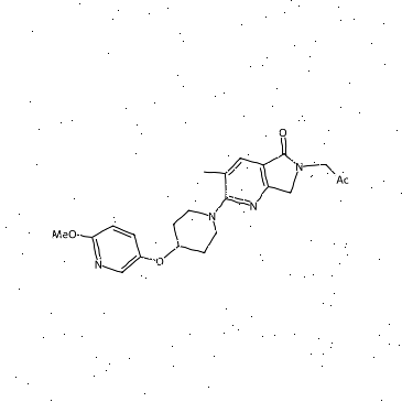 COc1ccc(OC2CCN(c3nc4c(cc3C)C(=O)N(CC(C)=O)C4)CC2)cn1